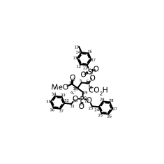 COC(=O)[C@@](C)(C[C@H](OS(=O)(=O)c1ccc(C)cc1)C(=O)O)CP(=O)(OCc1ccccc1)OCc1ccccc1